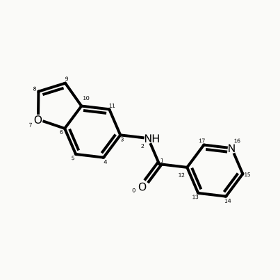 O=C(Nc1ccc2occc2c1)c1cccnc1